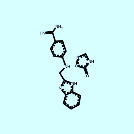 N=C(N)c1ccc(NCc2nc3ccccc3[nH]2)cc1.O=c1[nH]cno1